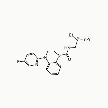 CCC[C@@H](CC)CNC(=O)N1CCN(c2ccc(F)cn2)c2ccccc21